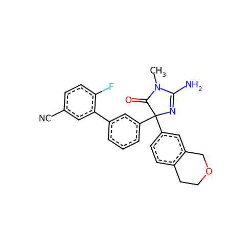 CN1C(=O)C(c2cccc(-c3cc(C#N)ccc3F)c2)(c2ccc3c(c2)COCC3)N=C1N